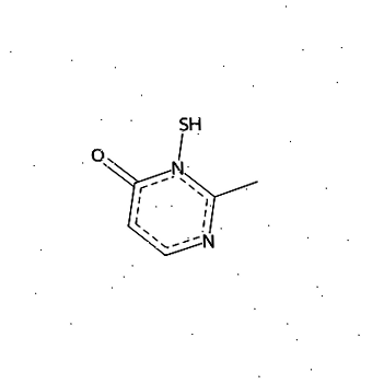 Cc1nccc(=O)n1S